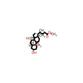 COC(=O)CC[C@@H](C)[C@H]1CC[C@H]2[C@@H]3[C@@H](O)C[C@@H]4C[C@H](O)CC[C@]4(C)[C@H]3CC[C@]12C